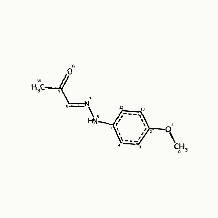 COc1ccc(NN=CC(C)=O)cc1